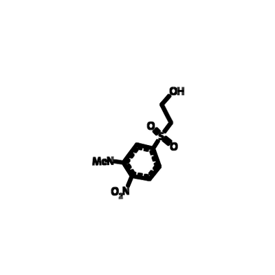 CNc1cc(S(=O)(=O)CCO)ccc1[N+](=O)[O-]